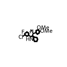 COc1ccc(C(c2c(-c3ccc(F)c(Cl)c3)[nH]c3ccccc23)N(C)C)cc1OC